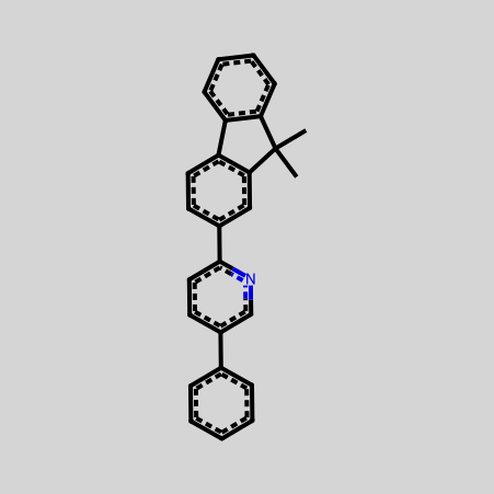 CC1(C)c2ccccc2-c2ccc(-c3ccc(-c4ccccc4)cn3)cc21